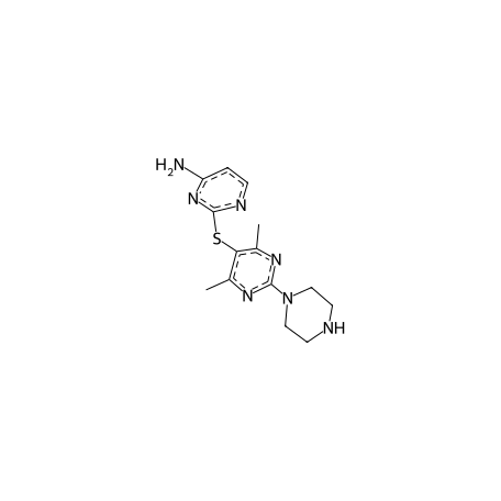 Cc1nc(N2CCNCC2)nc(C)c1Sc1nccc(N)n1